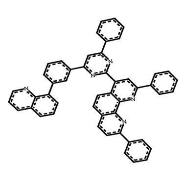 c1ccc(-c2cc(-c3cccc(-c4cccc5cccnc45)c3)nc(-c3cc(-c4ccccc4)nc4c3ccc3ccc(-c5ccccc5)nc34)n2)cc1